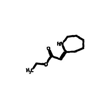 CCOC(=O)C=C1CCCCCN1